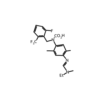 CCN(C)C=Nc1cc(C)c(N(Cc2c(F)cccc2C(F)(F)F)C(=O)O)cc1C